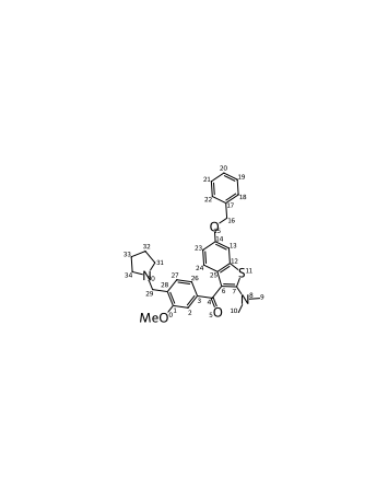 COc1cc(C(=O)c2c(N(C)C)sc3cc(OCc4ccccc4)ccc23)ccc1CN1CCCC1